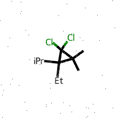 CCC1(C(C)C)C(C)(C)C1(Cl)Cl